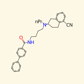 CCCN(CCCCNC(=O)c1ccc(-c2ccccc2)cc1)[C@@H]1CCc2c(C#N)cccc2C1